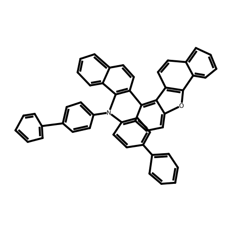 c1ccc(-c2ccc(N(c3ccc(-c4ccccc4)cc3)c3c(-c4cccc5oc6c7ccccc7ccc6c45)ccc4ccccc34)cc2)cc1